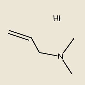 C=CCN(C)C.I